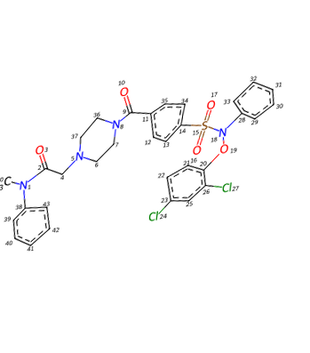 CN(C(=O)CN1CCN(C(=O)c2ccc(S(=O)(=O)N(Oc3ccc(Cl)cc3Cl)c3ccccc3)cc2)CC1)c1ccccc1